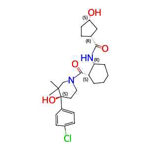 CC1(C)CN(C(=O)[C@H]2CCCC[C@H]2NC(=O)[C@@H]2CC[C@H](O)C2)CC[C@]1(O)c1ccc(Cl)cc1